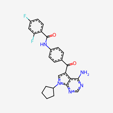 Nc1ncnc2c1c(C(=O)c1ccc(NC(=O)c3ccc(F)cc3F)cc1)cn2C1CCCC1